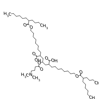 CCCCCCC(CCCC)C(=O)OCCCCCCCCC(CC(CC(CCCCCCCCOC(=O)C(CCCC)CCCCCC)C(=O)O)OC(=O)CCCN(C)C)C(=O)O